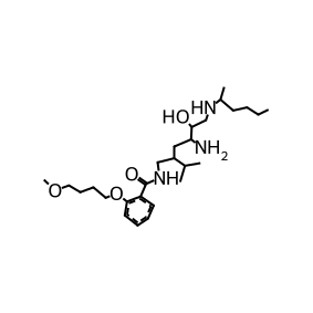 CCCCC(C)NCC(O)C(N)CC(CNC(=O)c1ccccc1OCCCCOC)C(C)C